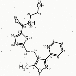 Cc1onc(-c2ccccn2)c1CCc1ncc(C(=O)NCCO)s1